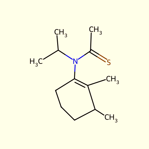 CC(=S)N(C1=C(C)C(C)CCC1)C(C)C